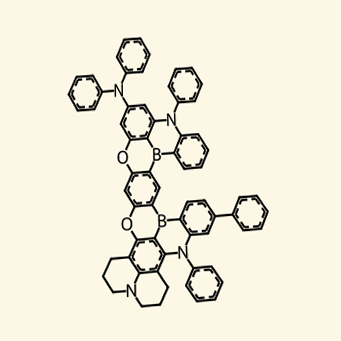 c1ccc(-c2ccc3c(c2)N(c2ccccc2)c2c4c5c(c6c2B3c2cc3c(cc2O6)Oc2cc(N(c6ccccc6)c6ccccc6)cc6c2B3c2ccccc2N6c2ccccc2)CCCN5CCC4)cc1